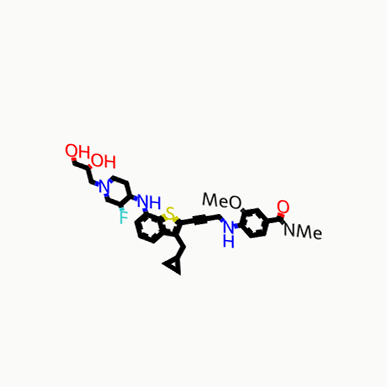 CNC(=O)c1ccc(NCC#Cc2sc3c(NC4CCN(CC(O)CO)CC4F)cccc3c2CC2CC2)c(OC)c1